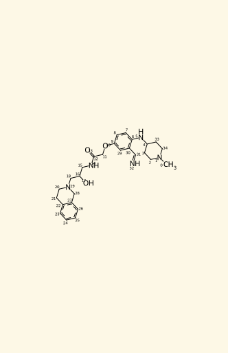 CN1CCC(Nc2ccc(OCC(=O)NCC(O)CN3CCc4ccccc4C3)cc2C=N)CC1